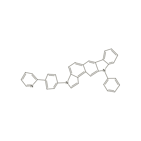 c1ccc(-n2c3ccccc3c3cc4ccc5c(ccn5-c5ccc(-c6ccccn6)cc5)c4cc32)cc1